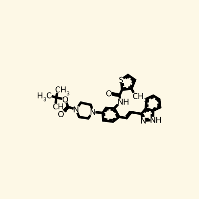 Cc1ccsc1C(=O)Nc1cc(N2CCN(C(=O)OC(C)(C)C)CC2)ccc1/C=C/c1n[nH]c2ccccc12